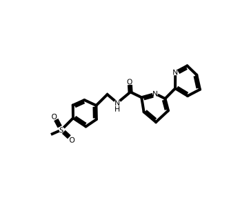 CS(=O)(=O)c1ccc(CNC(=O)c2cccc(-c3ccccn3)n2)cc1